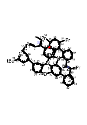 C=C/C(=C\C)c1ccc2c(c1)B1c3cc(-c4cc(C(C)C)cc(C(C)(C)C)c4)ccc3Oc3cc(-c4ccccc4)cc(c31)N2c1c(/C(C)=C(/C=C)C(C)C)cccc1-c1c(C(C)C)cc(C(C)C)cc1C(C)C